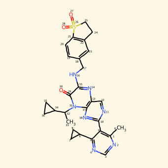 Cc1ncnc(C2CC2)c1-c1ncc2nc(NCc3ccc4c(c3)CCS4(=O)=O)c(=O)n(C(C)C3CC3)c2n1